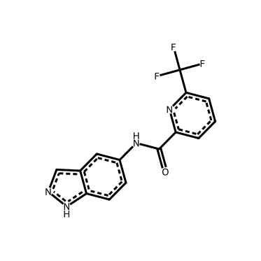 O=C(Nc1ccc2[nH]ncc2c1)c1cccc(C(F)(F)F)n1